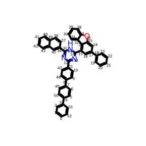 c1ccc(-c2ccc(-c3ccc(C4=NC(c5cc(-c6ccccc6)cc6oc7ccccc7c56)NC(c5ccc6ccccc6c5)=N4)cc3)cc2)cc1